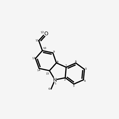 CN1c2ccccc2C2C=C(C=O)C=CC21